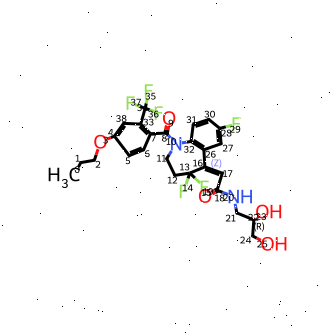 CCCOc1ccc(C(=O)N2CCC(F)(F)/C(=C\C(=O)NC[C@@H](O)CO)c3cc(F)ccc32)c(C(F)(F)F)c1